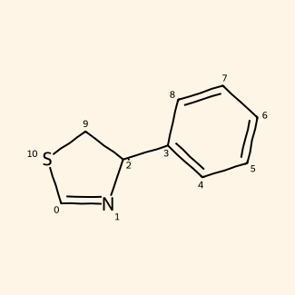 C1=N[C](c2ccccc2)CS1